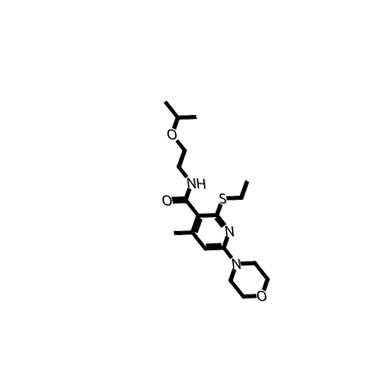 CCSc1nc(N2CCOCC2)cc(C)c1C(=O)NCCOC(C)C